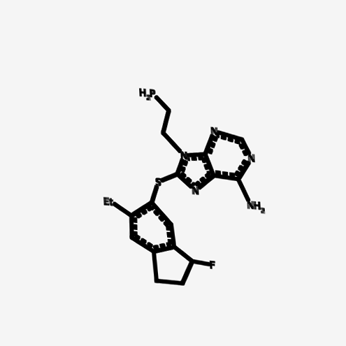 CCc1cc2c(cc1Sc1nc3c(N)ncnc3n1CCP)C(F)CC2